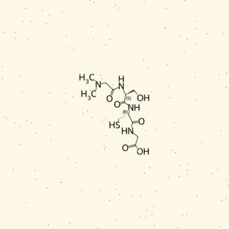 CN(C)CC(=O)N[C@@H](CO)C(=O)N[C@@H](CS)C(=O)NCC(=O)O